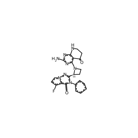 Nc1nc2c(c(N3CC[C@H]3c3nn4ccc(F)c4c(=O)n3-c3ccccc3)n1)C(=O)CCN2